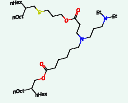 CCCCCCCCC(CCCCCC)COC(=O)CCCCCN(CCCN(CC)CC)CCC(=O)OCCCSCC(CCCCCC)CCCCCCCC